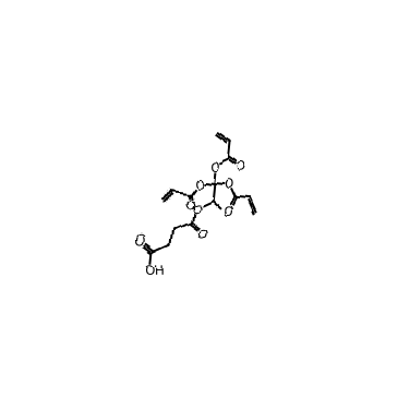 C=CC(=O)OC(OC(=O)C=C)(OC(=O)C=C)C(C)OC(=O)CCC(=O)O